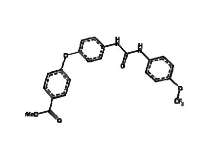 COC(=O)c1ccc(Oc2ccc(NC(=O)Nc3ccc(OC(F)(F)F)cc3)cc2)cc1